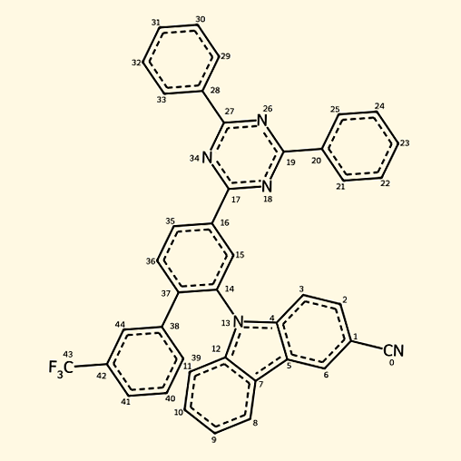 N#Cc1ccc2c(c1)c1ccccc1n2-c1cc(-c2nc(-c3ccccc3)nc(-c3ccccc3)n2)ccc1-c1cccc(C(F)(F)F)c1